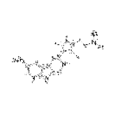 CCN(CC)CCn1nc(C)c(-c2cc3c(cn2)[nH]c2ncc(OC)cc23)c1C